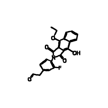 CCOc1c2c(c(O)c3ccccc13)C(=O)N(c1ccc(CC=O)cc1F)C2=O